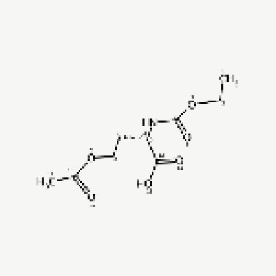 CCOC(=O)N[C@@H](CCOC(C)=O)C(=O)O